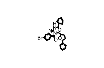 O=C(Nc1nc2cc(Br)ccc2c(=O)n1CC1CCC(c2ccccc2)O1)c1ccccc1